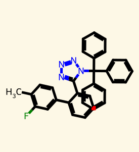 Cc1ccc(-c2ccccc2-c2nnnn2C(c2ccccc2)(c2ccccc2)c2ccccc2)cc1F